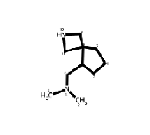 CN(C)CC1CCCC12CNC2